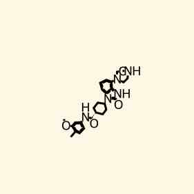 COc1cc(NC(=O)[C@H]2CC[C@@H](n3c(=O)[nH]c4c(N5CCNCC5)cccc43)CC2)ccc1C